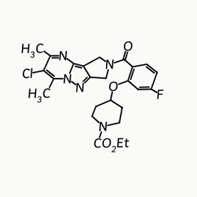 CCOC(=O)N1CCC(Oc2cc(F)ccc2C(=O)N2Cc3nn4c(C)c(Cl)c(C)nc4c3C2)CC1